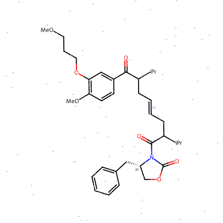 COCCCOc1cc(C(=O)C(C/C=C/CC(C(=O)N2C(=O)OC[C@@H]2Cc2ccccc2)C(C)C)C(C)C)ccc1OC